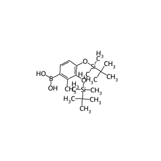 Cc1c(B(O)O)ccc(O[Si](C)(C)C(C)(C)C)c1O[Si](C)(C)C(C)(C)C